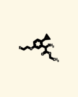 CCOC(=O)C(N)c1cc(OCCF)ccc1C1CC1